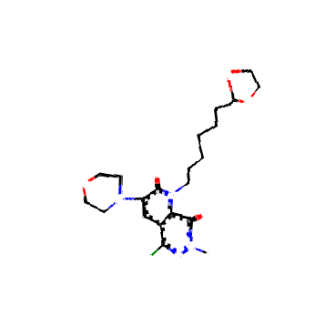 Cn1nc(Cl)c2cc(N3CCOCC3)c(=O)n(CCCCCCC3OCCO3)c2c1=O